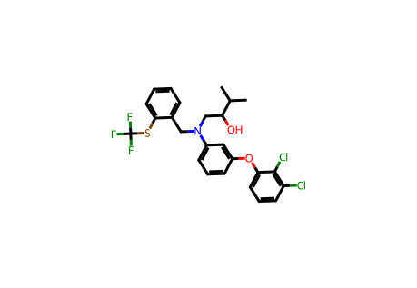 CC(C)C(O)CN(Cc1ccccc1SC(F)(F)F)c1cccc(Oc2cccc(Cl)c2Cl)c1